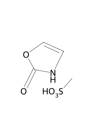 CS(=O)(=O)O.O=c1[nH]cco1